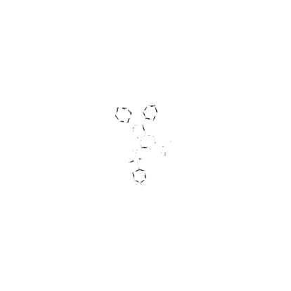 CC1[C@@H](C(N)O)N=C(NS(=O)(=O)c2ccc(Cl)cc2)N2C[C@H](c3ccccc3)C(c3ccc(Cl)cc3)=[N+]12